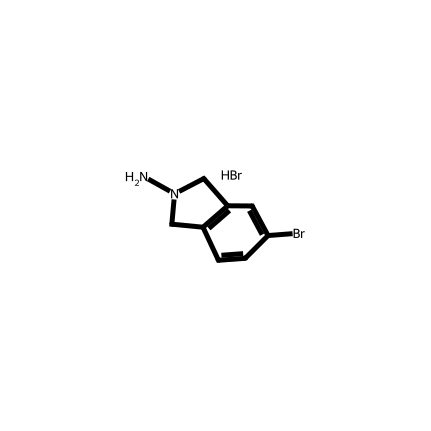 Br.NN1Cc2ccc(Br)cc2C1